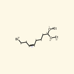 CCOC(CCC/C=C\CCBr)OCC